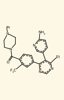 CCc1ncnc(-c2ccc(C(=O)N3CCN(C(C)C)CC3)c(C(F)(F)F)c2)c1-c1ccc(N)nc1